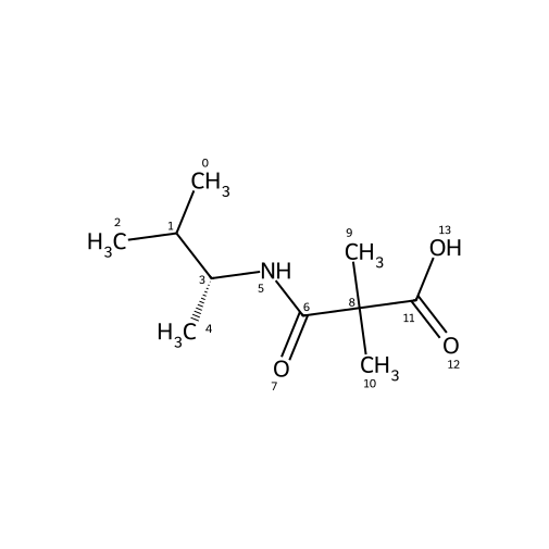 CC(C)[C@@H](C)NC(=O)C(C)(C)C(=O)O